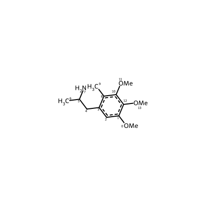 COc1cc(CC(C)N)c(C)c(OC)c1OC